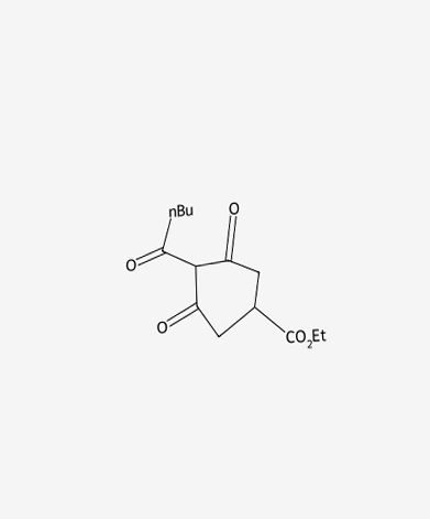 CCCCC(=O)C1C(=O)CC(C(=O)OCC)CC1=O